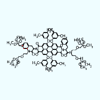 CO[SiH](COCCN(CCOC[Si](OC)(OC)OC)C(=O)C(Cc1ccccc1)N1C(=O)c2cc(Oc3cc(C)cc(C)c3)c3c4c(Oc5cc(C)cc(C)c5)cc5c6c(cc(Oc7cc(C)cc(C)c7)c(c7c(Oc8cc(C)cc(C)c8)cc(c2c37)C1=O)c64)C(=O)N(C(Cc1ccccc1)C(=O)N(CCOC[SiH](OC)OC)CCOC[Si](OC)(OC)OC)C5=O)OC